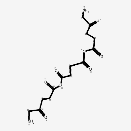 NCC(=O)CCC(=O)OC(=O)CCC(=O)OC(=O)CCC(=O)CN